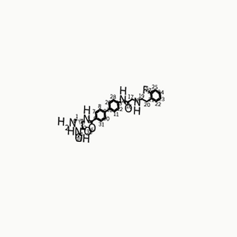 NC[C@H](NC(=O)c1ccc(-c2ccc(NC(=O)CNCCc3ccccc3F)cc2)cc1)C(=O)NO